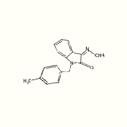 Cc1ccc(CN2C(=O)/C(=N\O)c3ccccc32)cc1